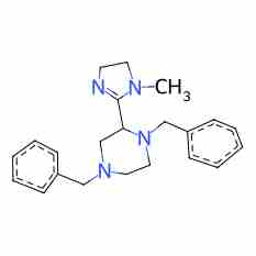 CN1CCN=C1C1CN(Cc2ccccc2)CCN1Cc1ccccc1